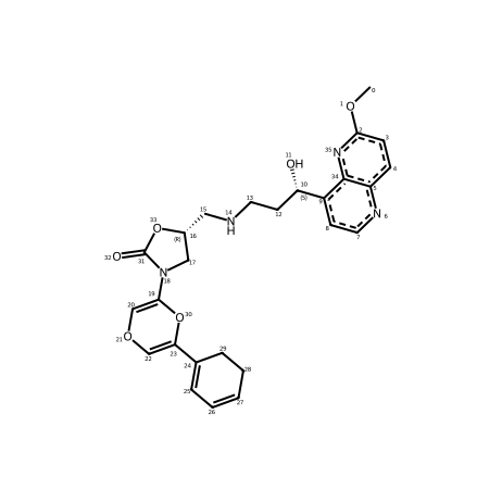 COc1ccc2nccc([C@@H](O)CCNC[C@@H]3CN(C4=COC=C(C5=CC=CCC5)O4)C(=O)O3)c2n1